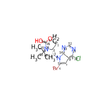 C=C[C@H](Cn1c(Br)cc2c(Cl)ncnc21)N(C(=O)O)C(C)(C)C